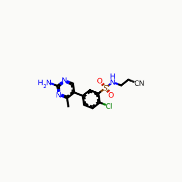 Cc1nc(N)ncc1-c1ccc(Cl)c(S(=O)(=O)NCCC#N)c1